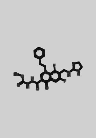 CCC(C)OC(=O)NNC(=O)c1cn(CCc2ccccc2)c2c(F)c(CNC3=NCCN3)c(F)cc2c1=O